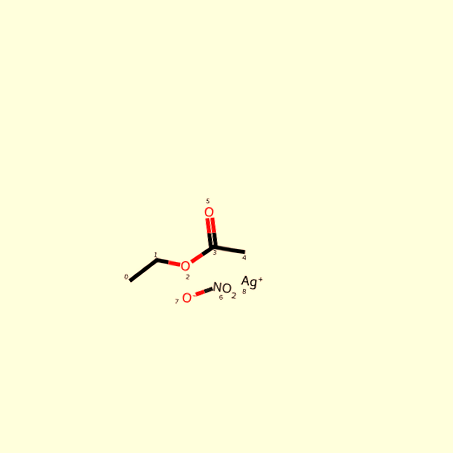 CCOC(C)=O.O=[N+]([O-])[O-].[Ag+]